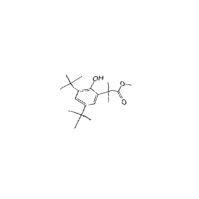 COC(=O)C(C)(C)c1cc(C(C)(C)C)cc(C(C)(C)C)c1O